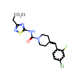 CCOC(=O)Cc1nsc(NC(=O)N2CCC(=Cc3ccc(Cl)cc3F)CC2)n1